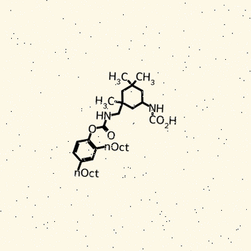 CCCCCCCCc1ccc(OC(=O)NCC2(C)CC(NC(=O)O)CC(C)(C)C2)c(CCCCCCCC)c1